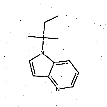 CCC(C)(C)n1ccc2ncccc21